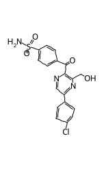 NS(=O)(=O)c1ccc(C(=O)c2ncc(-c3ccc(Cl)cc3)nc2CO)cc1